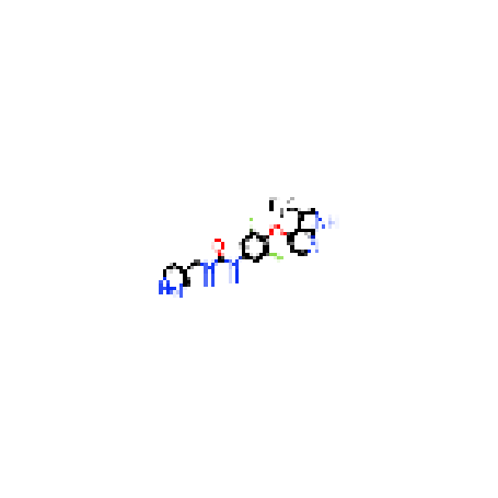 O=C(NCc1ccnnc1)Nc1cc(F)c(Oc2ccnc3[nH]cc(C(F)(F)F)c23)c(F)c1